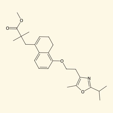 COC(=O)C(C)(C)CC1=CCCc2c(OCCc3nc(C(C)C)oc3C)cccc21